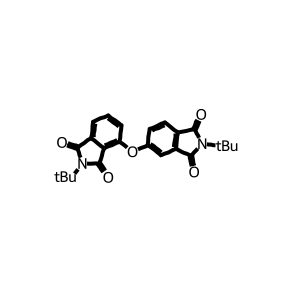 CC(C)(C)N1C(=O)c2ccc(Oc3cccc4c3C(=O)N(C(C)(C)C)C4=O)cc2C1=O